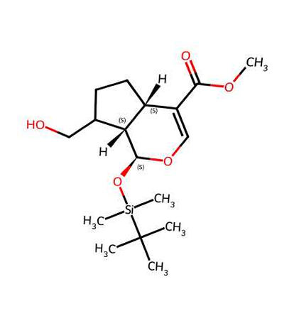 COC(=O)C1=CO[C@@H](O[Si](C)(C)C(C)(C)C)[C@@H]2C(CO)CC[C@H]12